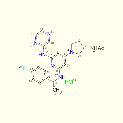 CC(=O)NC1CCN(c2cc(Nc3cnccn3)nc(N[C@@H](C)c3ccc(F)cc3)c2)C1.Cl